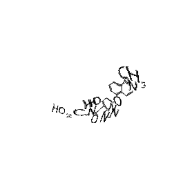 Cc1nccc2c(Oc3cc(O)c(C(=O)NCC(=O)O)c4ncnn34)cccc12